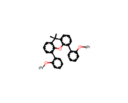 CC(C)Oc1ccccc1-c1cccc2c1Oc1c(-c3ccccc3OC(C)C)cccc1C2(C)C